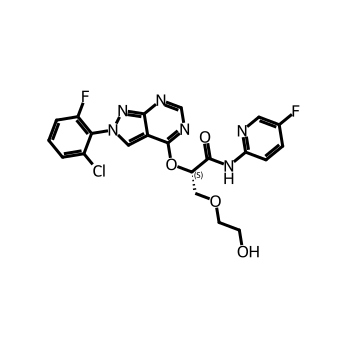 O=C(Nc1ccc(F)cn1)[C@H](COCCO)Oc1ncnc2nn(-c3c(F)cccc3Cl)cc12